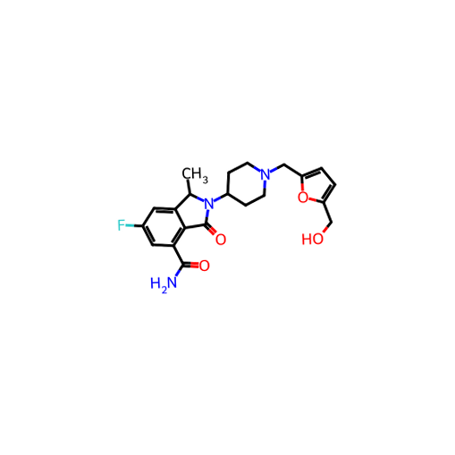 CC1c2cc(F)cc(C(N)=O)c2C(=O)N1C1CCN(Cc2ccc(CO)o2)CC1